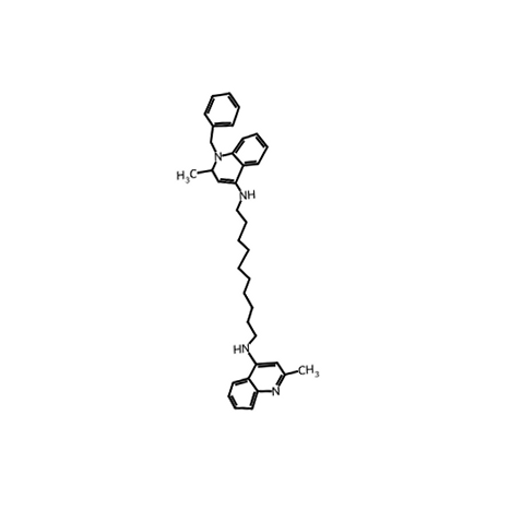 Cc1cc(NCCCCCCCCCCNC2=CC(C)N(Cc3ccccc3)c3ccccc32)c2ccccc2n1